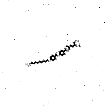 CCCCCCCCCCOc1ccc(C(=O)Oc2ccc(C3OCC(CCC(C)CC)CO3)cc2)cc1